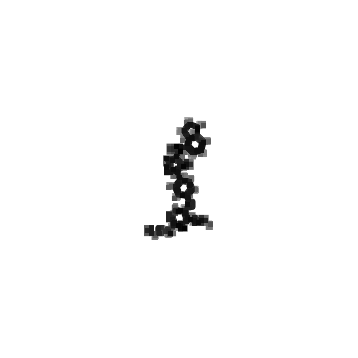 CSc1ncc(Oc2ccc(-c3nnc(Nc4cccc5c4CCC5)[nH]3)cc2)c(N)n1